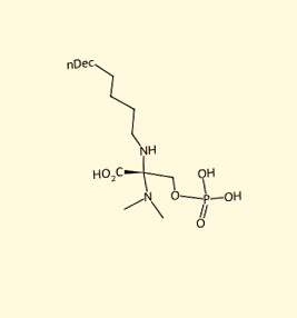 CCCCCCCCCCCCCCN[C@@](COP(=O)(O)O)(C(=O)O)N(C)C